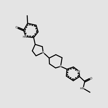 CNC(=O)c1ccc(N2CCC(N3CCC(c4ccc(C)c(=O)[nH]4)C3)CC2)cn1